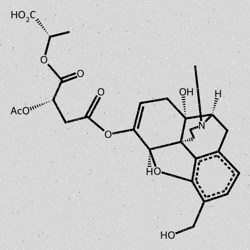 CC(=O)O[C@@H](CC(=O)OC1=CC[C@@]2(O)[C@H]3Cc4ccc(CO)c5c4[C@@]2(CCN3C)[C@H]1O5)C(=O)O[C@@H](C)C(=O)O